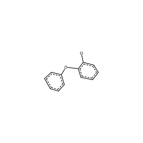 [O]c1ccccc1Oc1ccccc1